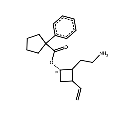 C=CC1C[C@H](OC(=O)C2(c3ccccc3)CCCC2)C1CCN